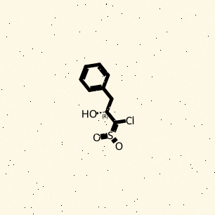 O=S(=O)=C(Cl)[C@H](O)Cc1ccccc1